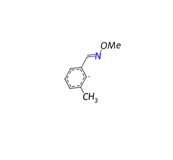 CON=Cc1[c]c(C)ccc1